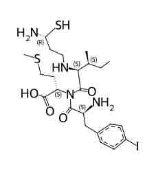 CC[C@H](C)[C@H](NCC[C@H](N)S)C(=O)N(C(=O)[C@@H](N)Cc1ccc(I)cc1)[C@@H](CCSC)C(=O)O